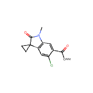 COC(=O)c1cc2c(cc1Cl)C1(CC1)C(=O)N2C